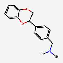 CCN(CC)Cc1ccc(C2COc3ccccc3O2)cc1